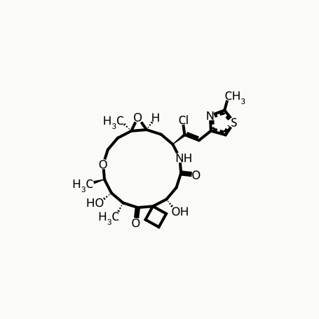 Cc1nc(C=C(Cl)[C@@H]2C[C@@H]3O[C@]3(C)CCO[C@H](C)[C@@H](O)[C@@H](C)C(=O)C3(CCC3)[C@@H](O)CC(=O)N2)cs1